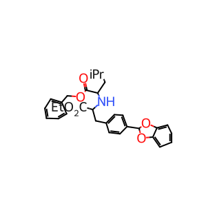 CCOC(=O)C(Cc1ccc(C2Oc3ccccc3O2)cc1)NC(CC(C)C)C(=O)OCc1ccccc1